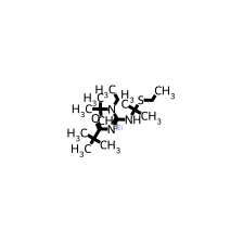 CCSC(C)(C)N/C(=N/C(=O)C(C)(C)C)N(CC)C(C)(C)C